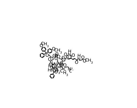 [C-]#[N+]CCOP(OC1CC(n2cc(/C=C/C(=O)NCC(=O)OC)c(=O)[nH]c2=O)OC1COP(=O)(OCC[N+]#[C-])OC1CC(n2cnc3c(NC(=O)c4ccccc4)ncnc32)OC1COC(c1ccccc1)(c1ccc(OC)cc1)c1ccc(OC)cc1)N(C(C)C)C(C)C